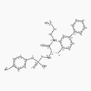 CC(C)c1ccc(OP(=O)(O)CN[C@@H](Cc2ccc(-c3ccccc3)cc2)C(=O)NCCC(=O)O)cc1